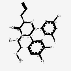 C=CC[C@H]1O[C@H](c2cc(F)cc(Cl)c2)[C@@H](c2ccc(Cl)c(F)c2)N([C@@H](CC)CSC(C)(C)C)C1=O